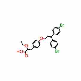 CCOC(Cc1ccc(OCC=C(c2ccc(Br)cc2)c2ccc(Br)cc2)cc1)C(=O)O